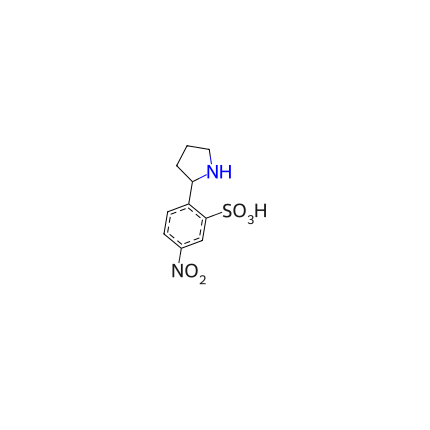 O=[N+]([O-])c1ccc(C2CCCN2)c(S(=O)(=O)O)c1